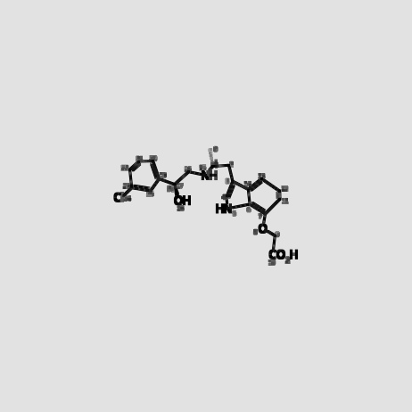 C[C@H](Cc1c[nH]c2c(OCC(=O)O)cccc12)NC[C@@H](O)c1cccc(Cl)c1